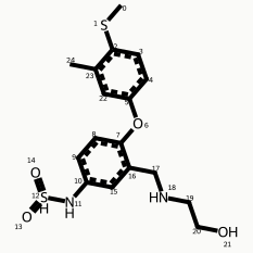 CSc1ccc(Oc2ccc(N[SH](=O)=O)cc2CNCCO)cc1C